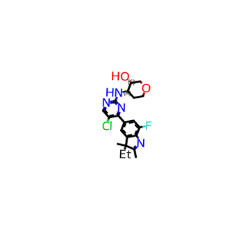 CCC1(C)C(C)=Nc2c(F)cc(-c3nc(N[C@@H]4CCOC[C@H]4O)ncc3Cl)cc21